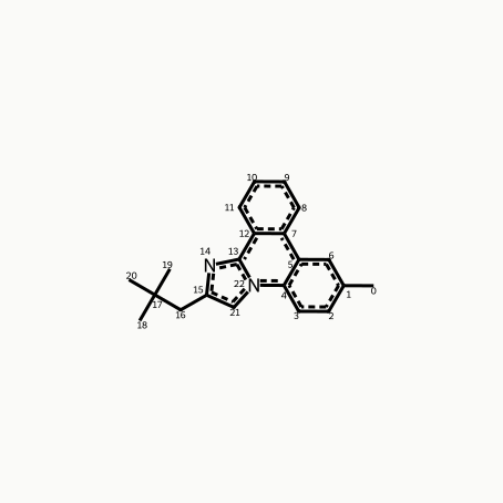 Cc1ccc2c(c1)c1ccccc1c1nc(CC(C)(C)C)cn21